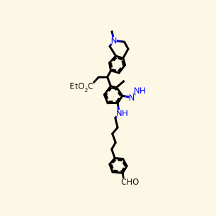 CCOC(=O)CC(c1ccc2c(c1)CN(C)CC2)c1ccc(NCCCCCc2ccc(C=O)cc2)c(N=N)c1C